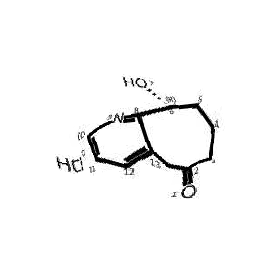 Cl.O=C1CCC[C@@H](O)c2ncccc21